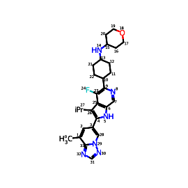 Cc1cc(-c2[nH]c3cnc(C4CCC(NC5CCOCC5)CC4)c(F)c3c2C(C)C)cn2ncnc12